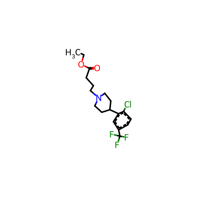 CCOC(=O)CCCN1CCC(c2cc(C(F)(F)F)ccc2Cl)CC1